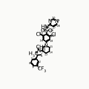 CN(C)[C@]1(CCc2cccc(C(F)(F)F)c2)CCCN(c2cc(Cl)c(S(=O)(=O)Nc3ccncn3)c(Cl)c2)C1